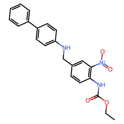 CCOC(=O)Nc1ccc(CNc2ccc(-c3ccccc3)cc2)cc1[N+](=O)[O-]